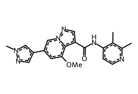 COc1cc(-c2cnn(C)c2)cn2ncc(C(=O)Nc3ccnc(C)c3C)c12